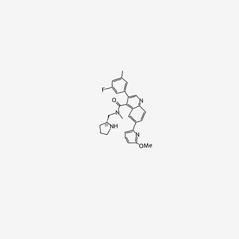 COc1cccc(-c2ccc3ncc(-c4cc(C)cc(F)c4)c(C(=O)N(C)C[C@@H]4CCCN4)c3c2)n1